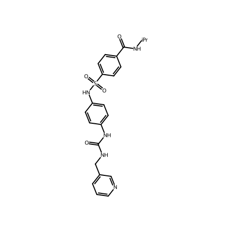 CC(C)NC(=O)c1ccc(S(=O)(=O)Nc2ccc(NC(=O)NCc3cccnc3)cc2)cc1